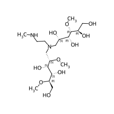 CNCCN(C[C@H](OC)[C@@H](O)[C@H](O)[C@@H](CO)OC)C[C@H](O)[C@@H](O)[C@H](OC)[C@H](O)CO